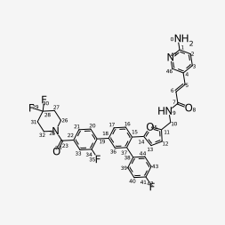 Nc1ccc(/C=C/C(=O)NCc2ccc(-c3ccc(-c4ccc(C(=O)N5CCC(F)(F)CC5)cc4F)cc3-c3ccc(F)cc3)o2)cn1